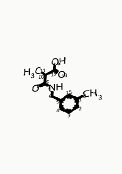 Cc1cccc(CNC(=O)C(C)C(=O)O)c1